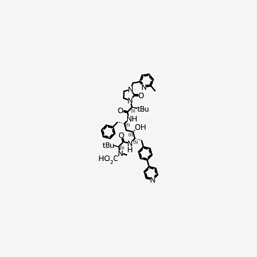 Cc1cccc(CN2CCN([C@H](C(=O)N[C@@H](Cc3ccccc3)C[C@H](O)[C@H](Cc3ccc(-c4ccncc4)cc3)NC(=O)[C@@H](N(C)C(=O)O)C(C)(C)C)C(C)(C)C)C2=O)n1